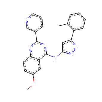 COc1ccc2nc(-c3cccnc3)nc(Nc3cc(-c4ccccc4C)n[nH]3)c2c1